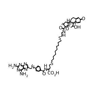 C[C@@H]1C[C@H]2C3CCC4=CC(=O)C=C[C@]4(C)[C@@]3(F)[C@@H](O)C[C@@]23O[C@]13C(=O)NCCSCCCCCCCCCCSCC[C@H](NC(=O)c1ccc(N(C)Cc2cnc3nc(N)nc(N)c3n2)cc1)C(=O)O